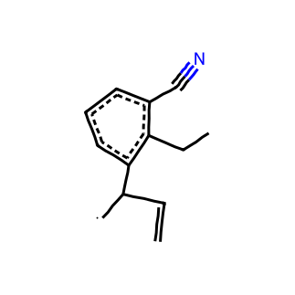 [CH2]C(C=C)c1cccc(C#N)c1CC